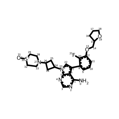 Nc1ncnc2c1c(-c1cccc(OCC3CCCO3)c1F)cn2C1CC(N2CC[S+]([O-])CC2)C1